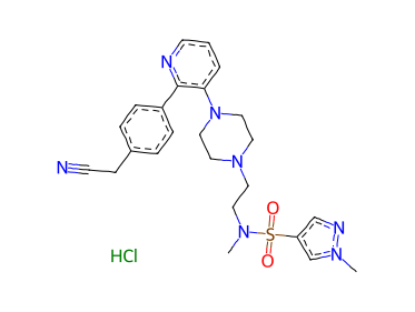 CN(CCN1CCN(c2cccnc2-c2ccc(CC#N)cc2)CC1)S(=O)(=O)c1cnn(C)c1.Cl